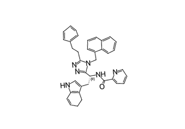 O=C(N[C@H](Cc1c[nH]c2c1CCC=C2)c1nnc(CCc2ccccc2)n1Cc1cccc2ccccc12)c1ccccn1